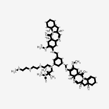 COCCOCCOCCN(CC(C)(C)S(C)=S)[C@@H]1C=C(COC2=C(OC)C[C@H]3C(=O)N4[C@H](C=NC3C2)CC2CCCC[C@@H]24)C[C@H](COC2=C(OC)C[C@@H]3C(=O)N4C5=CCCC[C@@H]5C[C@@H]4C=N[C@@H]3C2)C1